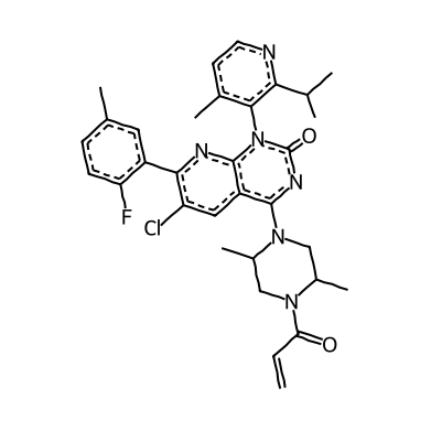 C=CC(=O)N1CC(C)N(c2nc(=O)n(-c3c(C)ccnc3C(C)C)c3nc(-c4cc(C)ccc4F)c(Cl)cc23)CC1C